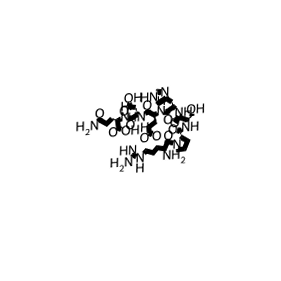 N=C(N)NCCC[C@H](N)C(=O)N1CCC[C@H]1C(=O)N[C@@H](CO)C(=O)N[C@@H](Cc1c[nH]cn1)C(=O)N[C@@H](CCC(=O)O)C(=O)N[C@@H](CC(=O)O)C(=O)N[C@@H](CCC(N)=O)C(=O)O